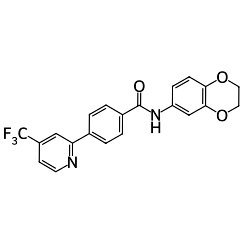 O=C(Nc1ccc2c(c1)OCCO2)c1ccc(-c2cc(C(F)(F)F)ccn2)cc1